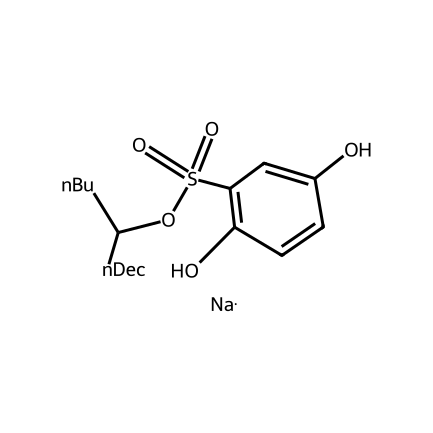 CCCCCCCCCCC(CCCC)OS(=O)(=O)c1cc(O)ccc1O.[Na]